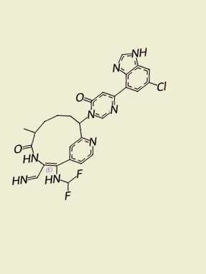 CC1CCCC(n2cnc(-c3cc(Cl)cc4[nH]cnc34)cc2=O)c2cc(ccn2)/C(NC(F)F)=C(/C=N)NC1=O